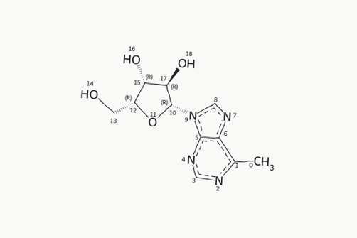 Cc1ncnc2c1ncn2[C@@H]1O[C@H](CO)[C@H](O)[C@H]1O